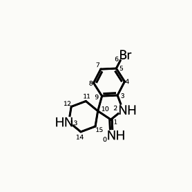 N=C1Nc2cc(Br)ccc2C12CCNCC2